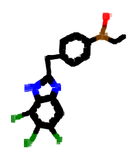 CC[S+]([O-])c1ccc(Cc2nc3cc(F)c(Br)c(F)c3[nH]2)cc1